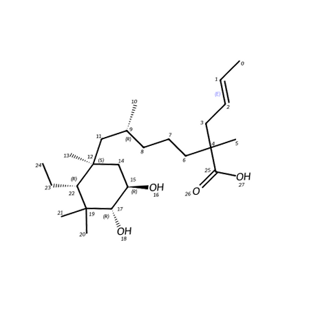 C/C=C/CC(C)(CCC[C@@H](C)C[C@@]1(C)C[C@@H](O)[C@H](O)C(C)(C)[C@@H]1CC)C(=O)O